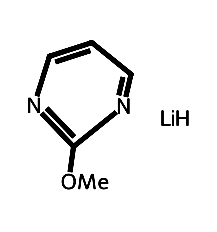 COc1ncccn1.[LiH]